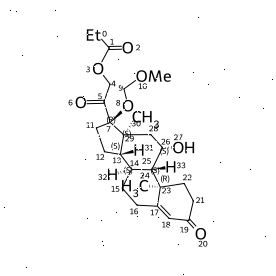 CCC(=O)OCC(=O)[C@@]1(OCOC)CC[C@H]2[C@@H]3CCC4=CC(=O)CC[C@]4(C)[C@H]3[C@@H](O)C[C@@]21C